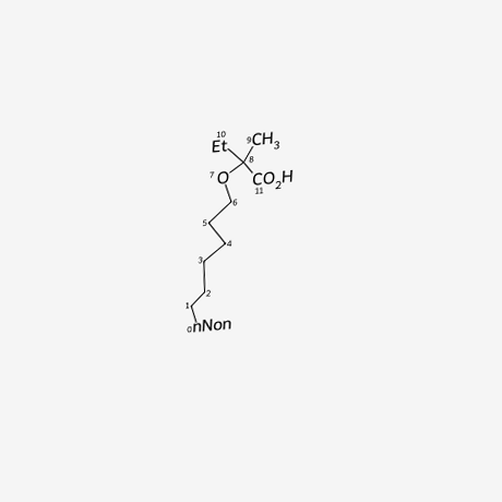 CCCCCCCCCCCCCCCOC(C)(CC)C(=O)O